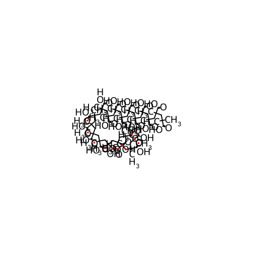 CC(C)(CC(C)(CC(C)(CC(C)(CC(C)(CC(C)(CC(C)(CC(C)(CC(C)(CC(C)(CC(C)(CC(C)(CC(C)(CC(C)(CC(C)(CC(C)(CC(C)(CC(C)(CC(C)(CC(C)(C)C(=O)O)C(=O)O)C(=O)O)C(=O)O)C(=O)O)C(=O)O)C(=O)O)C(=O)O)C(=O)O)C(=O)O)C(=O)O)C(=O)O)C(=O)O)C(=O)O)C(=O)O)C(=O)O)C(=O)O)C(=O)O)C(=O)O)C(=O)O